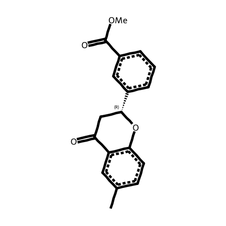 COC(=O)c1cccc([C@H]2CC(=O)c3cc(C)ccc3O2)c1